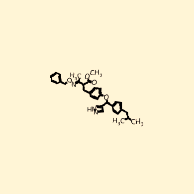 COC(=O)C(Cc1ccc(OC(c2ccc(CC(C)C)cc2)c2cn[nH]c2)cc1)C(C)=NOCc1ccccc1